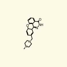 CN1CCN(CC2=CC3c4n[nH]c(=O)c5cccc(c45)OC3C=C2)CC1